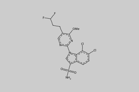 COc1nc(-n2cc(S(N)(=O)=O)c3ccc(Cl)c(Cl)c32)ncc1CCC(F)F